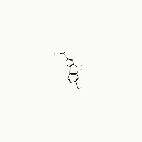 CC(C)c1ccc2c(c1)[Si](C)(C)c1cc(C(C)C)sc1-2